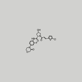 O=C(Nc1ccc(N2CCOCC2=O)cc1F)[C@H]1C[C@@H](O)CN1C(=O)/C=C/c1ccc(Cl)s1